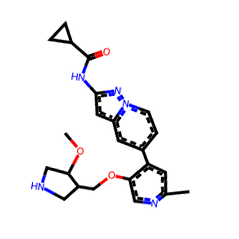 COC1CNCC1COc1cnc(C)cc1-c1ccn2nc(NC(=O)C3CC3)cc2c1